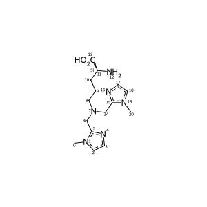 Cn1ccnc1CN(CCC[C@H](N)C(=O)O)Cc1nccn1C